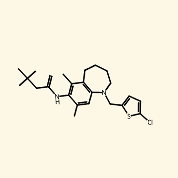 C=C(CC(C)(C)C)Nc1c(C)cc2c(c1C)CCCCN2Cc1ccc(Cl)s1